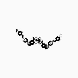 CC(OC(=O)C(=O)OC(C)c1ccc2ccn(C3CCN(CCc4ccc(F)cc4)CC3)c2c1)c1ccc2ccn(C3CCN(CCc4ccc(F)cc4)CC3)c2c1